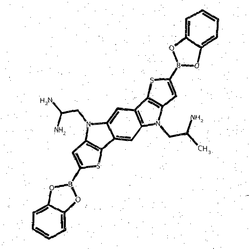 CC(N)Cn1c2cc3c4sc(B5Oc6ccccc6O5)cc4n(CC(N)N)c3cc2c2sc(B3Oc4ccccc4O3)cc21